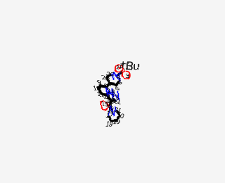 CC(C)(C)OC(=O)N1CC=C(c2cccc3c(C(=O)N4CCCCC4)cnn23)CC1